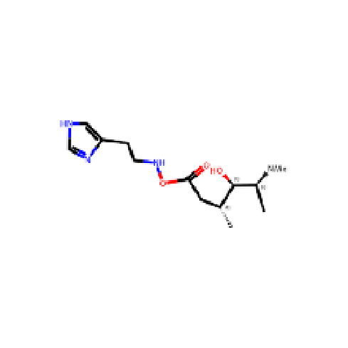 CN[C@@H](C)[C@H](O)[C@H](C)CC(=O)ONCCc1c[nH]cn1